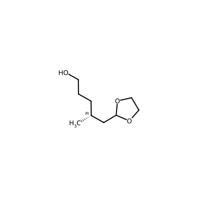 C[C@H](CCCO)CC1OCCO1